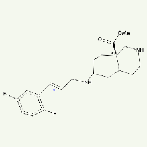 COC(=O)[C@]12CCC(NC/C=C/c3cc(F)ccc3F)CC1CCNC2